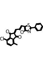 Cc1ccc(Cl)c2c1C(=O)/C(=C\c1cc3sc(-c4ccccc4)nc3o1)C2=O